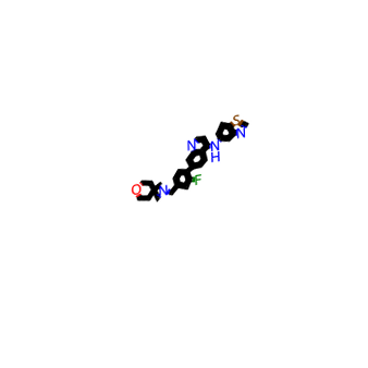 Fc1cc(CN2CC3(CCOCC3)C2)ccc1-c1ccc2c(Nc3ccc4scnc4c3)ccnc2c1